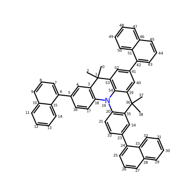 CC1(C)c2cc(-c3cccc4ccccc34)ccc2N2c3ccc(-c4cccc5ccccc45)cc3C(C)(C)c3cc(-c4cccc5ccccc45)cc1c32